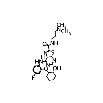 CN(C)CCCNC(=O)C1=N[C@@H]2C(Nc3ccc(F)cc3O[C@@H]3CCCC[C@H]3O)=NC=NC2S1